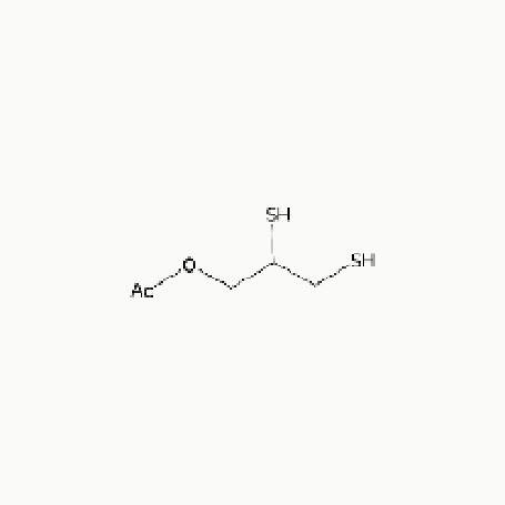 CC(=O)OCC(S)CS